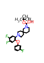 CC(C)(C)OC(O)N1CCCC2(CCN(c3cc(F)c(F)cc3Oc3cccc(F)c3)CC2)C1